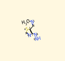 C/N=C\c1scnc1N=N